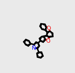 c1ccc(-c2cc(-c3ccc4c(c3)oc3ccc5oc6ccccc6c5c34)cc(-c3ccccc3)n2)cc1